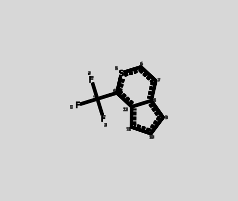 FC(F)(F)c1sccc2[c]ccc1-2